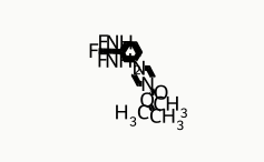 CC(C)(C)OC(=O)N1CCN(c2cccc(C(N)(N)C(F)(F)F)c2)CC1